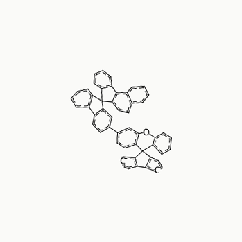 c1ccc2c(c1)Oc1cc(-c3ccc4c(c3)C3(c5ccccc5-4)c4ccccc4-c4c3ccc3ccccc43)ccc1C21c2ccccc2-c2ccccc21